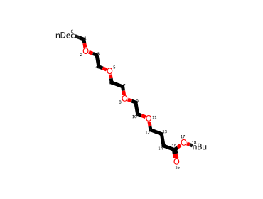 CCCCCCCCCCCOCCOCCOCCOCCCC(=O)OCCCC